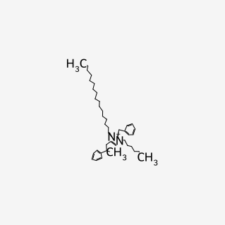 CCCCCCCCCCCCCCCCC[n+]1c(CC(C)c2ccccc2)cn(CCCCCC)c1Cc1ccccc1